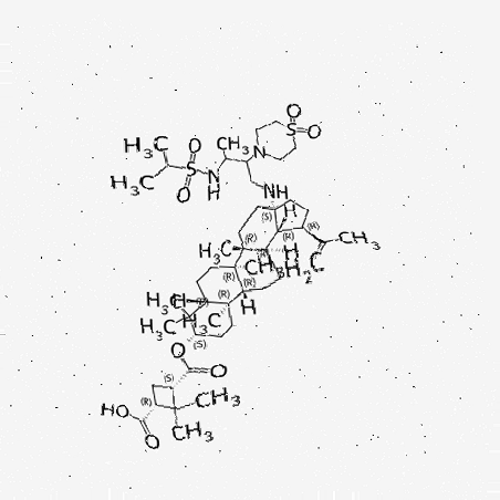 C=C(C)[C@@H]1CC[C@]2(NCC(C(C)NS(=O)(=O)C(C)C)N3CCS(=O)(=O)CC3)CC[C@]3(C)[C@H](CC[C@@H]4[C@@]5(C)CC[C@H](OC(=O)[C@H]6C[C@@H](C(=O)O)C6(C)C)C(C)(C)[C@@H]5CC[C@]43C)[C@@H]12